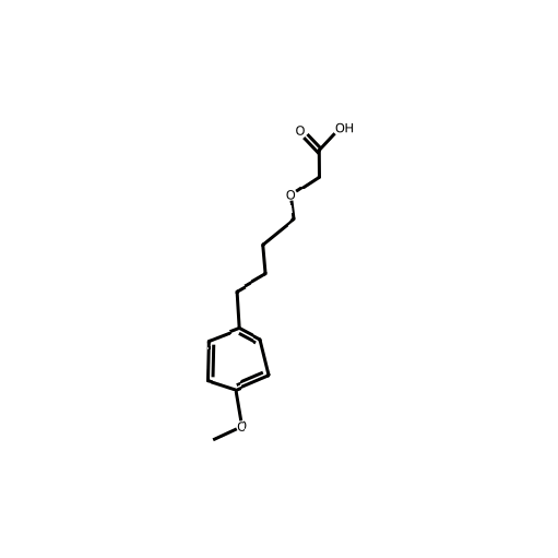 COc1ccc(CCCCOCC(=O)O)cc1